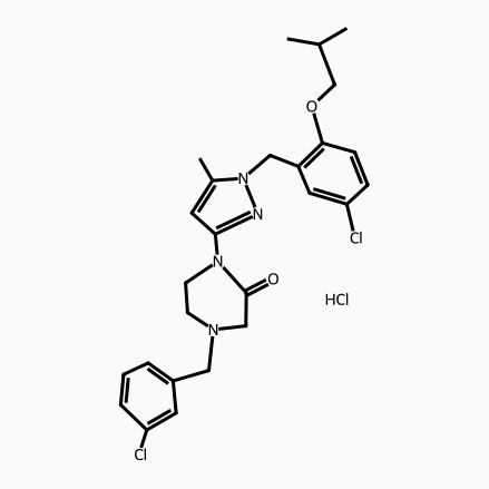 Cc1cc(N2CCN(Cc3cccc(Cl)c3)CC2=O)nn1Cc1cc(Cl)ccc1OCC(C)C.Cl